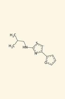 CC(C)CNc1nc(-c2ccco2)[c]s1